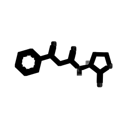 O=C(CC(=O)c1ccccc1)N[C@H]1CCOC1=O